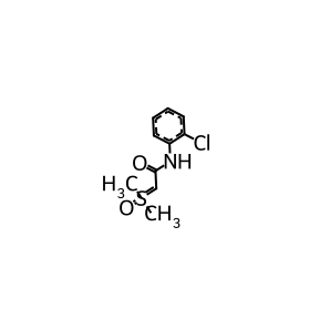 CS(C)(=O)=CC(=O)Nc1ccccc1Cl